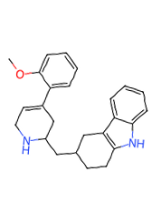 COc1ccccc1C1=CCNC(CC2CCc3[nH]c4ccccc4c3C2)C1